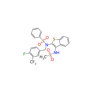 CS(=O)(=O)Nc1c(N(Cc2ccc(F)c(C(F)(F)F)c2)S(=O)(=O)c2ccccc2)sc2ccccc12